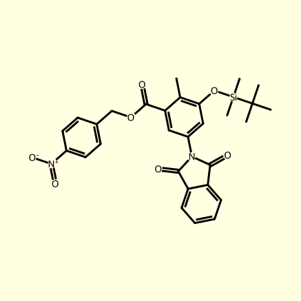 Cc1c(O[Si](C)(C)C(C)(C)C)cc(N2C(=O)c3ccccc3C2=O)cc1C(=O)OCc1ccc([N+](=O)[O-])cc1